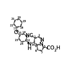 N#Cc1cnn2c(C(=O)O)ccc2c1Nc1ccc(Oc2ccccc2)cc1